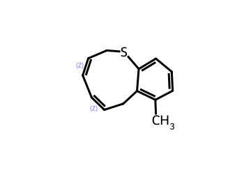 Cc1cccc2c1C/C=C\C=C/CS2